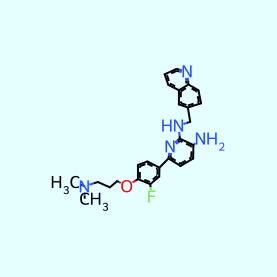 CN(C)CCCOc1ccc(-c2ccc(N)c(NCc3ccc4ncccc4c3)n2)cc1F